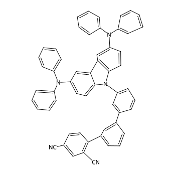 N#Cc1ccc(-c2cccc(-c3cccc(-n4c5ccc(N(c6ccccc6)c6ccccc6)cc5c5cc(N(c6ccccc6)c6ccccc6)ccc54)c3)c2)c(C#N)c1